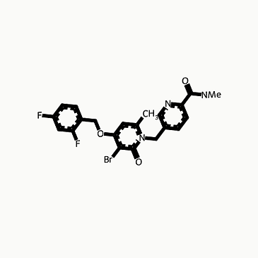 CNC(=O)c1ccc(Cn2c(C)cc(OCc3ccc(F)cc3F)c(Br)c2=O)cn1